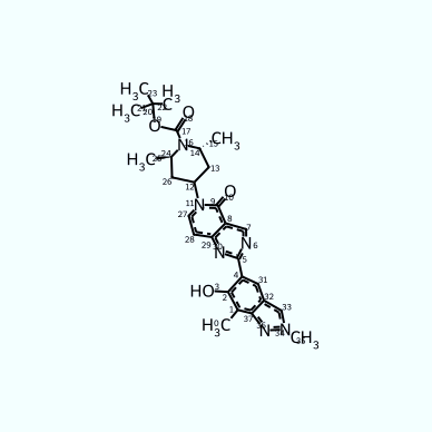 Cc1c(O)c(-c2ncc3c(=O)n(C4C[C@@H](C)N(C(=O)OC(C)(C)C)[C@H](C)C4)ccc3n2)cc2cn(C)nc12